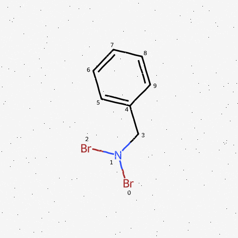 BrN(Br)Cc1ccccc1